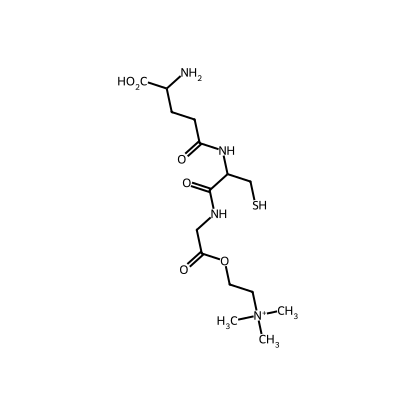 C[N+](C)(C)CCOC(=O)CNC(=O)C(CS)NC(=O)CCC(N)C(=O)O